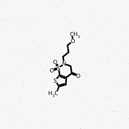 COCCCN1CC(=O)c2cc(C)sc2S1(=O)=O